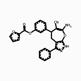 N#CC1=C(N)Oc2[nH]nc(-c3ccccc3)c2CC1c1cccc(OC(=O)c2ccco2)c1